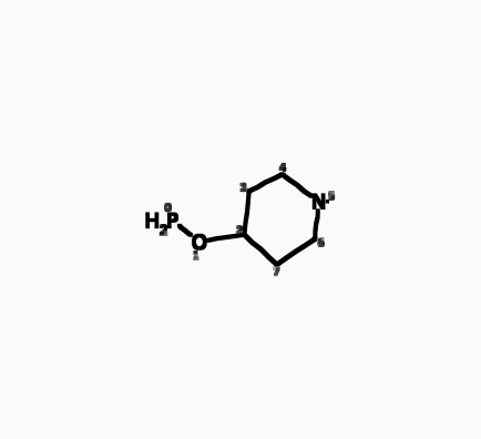 POC1CC[N]CC1